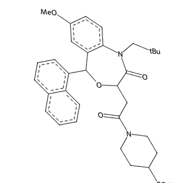 COc1ccc2c(c1)C(c1cccc3ccccc13)OC(CC(=O)N1CCC(C(=O)O)CC1)C(=O)N2CC(C)(C)C